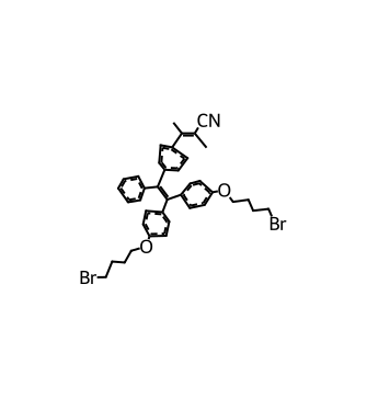 C/C(C#N)=C(/C)c1ccc(C(=C(c2ccc(OCCCCBr)cc2)c2ccc(OCCCCBr)cc2)c2ccccc2)cc1